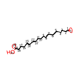 O=CCCCCCCCCCCCCCCCCCC(=O)O